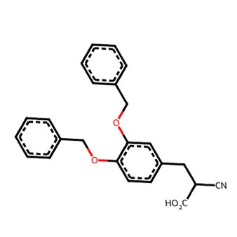 N#CC(Cc1ccc(OCc2ccccc2)c(OCc2ccccc2)c1)C(=O)O